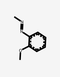 CN=Nc1ccccc1OC